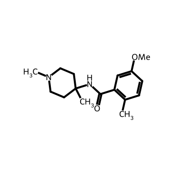 COc1ccc(C)c(C(=O)NC2(C)CCN(C)CC2)c1